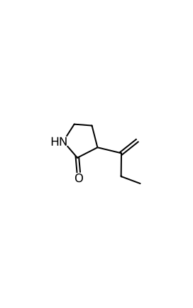 C=C(CC)C1CCNC1=O